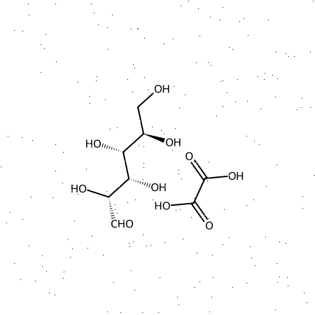 O=C(O)C(=O)O.O=C[C@H](O)[C@@H](O)[C@H](O)[C@H](O)CO